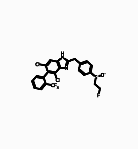 [O-][S+](CCF)c1ccc(Cc2nc3c(Cl)c(-c4ccccc4C(F)(F)F)c(Cl)cc3[nH]2)cc1